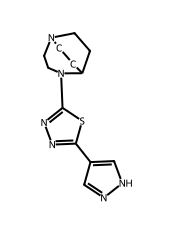 c1n[nH]cc1-c1nnc(N2CCN3CCC2CC3)s1